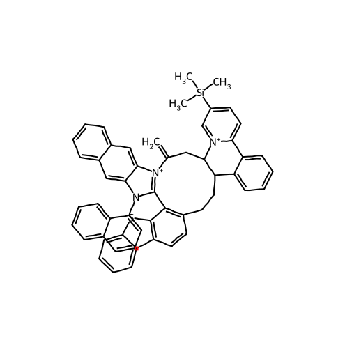 C=C1CC2C(CCc3ccc4c(sc5ccccc54)c3-c3n(-c4cccc5ccccc45)c4cc5ccccc5cc4[n+]31)c1ccccc1-c1ccc([Si](C)(C)C)c[n+]12